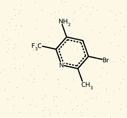 Cc1nc(C(F)(F)F)c(N)cc1Br